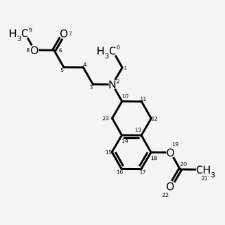 CCN(CCCC(=O)OC)C1CCc2c(cccc2OC(C)=O)C1